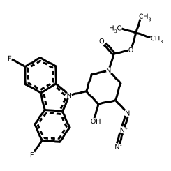 CC(C)(C)OC(=O)N1CC(N=[N+]=[N-])C(O)C(n2c3ccc(F)cc3c3cc(F)ccc32)C1